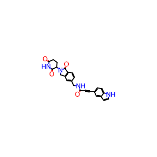 O=C(C#Cc1ccc2[nH]ccc2c1)NCc1ccc2c(c1)CN(C1CCC(=O)NC1=O)C2=O